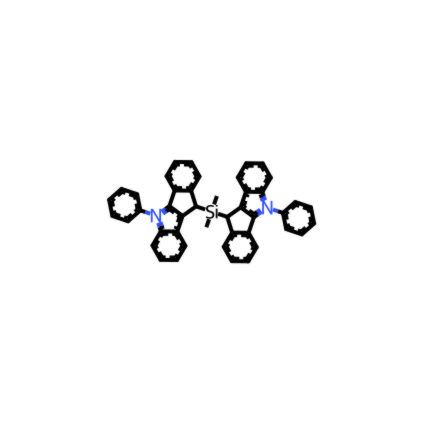 C[Si](C)(C1c2ccccc2-c2c1c1ccccc1n2-c1ccccc1)C1c2ccccc2-c2c1c1ccccc1n2-c1ccccc1